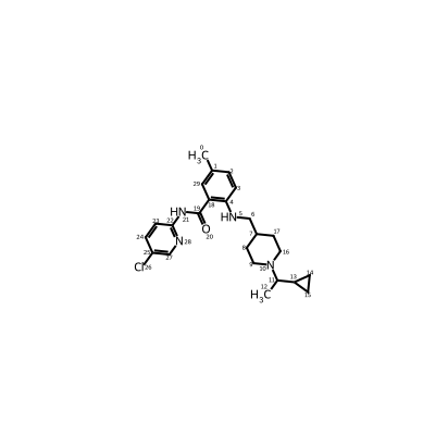 Cc1ccc(NCC2CCN(C(C)C3CC3)CC2)c(C(=O)Nc2ccc(Cl)cn2)c1